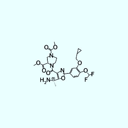 COC(=O)C1CN(C(=O)OC)CCN1C(=O)c1nc(-c2ccc(OC(F)F)c(OCC3CC3)c2)oc1[C@H](C)N